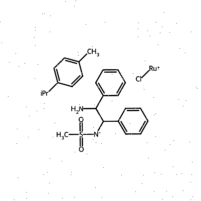 CS(=O)(=O)[N-]C(c1ccccc1)C(N)c1ccccc1.Cc1ccc(C(C)C)cc1.[Cl][Ru+]